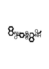 C=CC(=O)NC1CCN(S(=O)(=O)c2ccc(C(=O)NC3CCCc4ccccc43)cc2)c2ccccc21